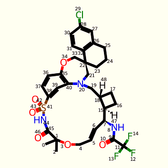 CC1(C)OC/C=C/[C@H](NC(=O)C(F)(F)F)[C@@H]2CC[C@H]2CN2C[C@@]3(CCCc4cc(Cl)ccc43)COc3ccc(cc32)S(=O)(=O)NC1=O